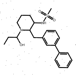 CCC(O)N1CCCC(NS(C)(=O)=O)C1Cc1cccc(-c2ccccc2)c1